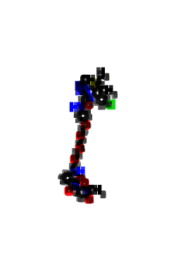 Cc1sc2c(c1C)C(c1ccc(Cl)cc1)=N[C@@H](CC(=O)Nc1ccc(OCCOCCOCCOCCNc3cccc4c3C(=O)N(C3CCC(=O)N(C)C3=O)C4=O)cc1)c1nnc(C)n1-2